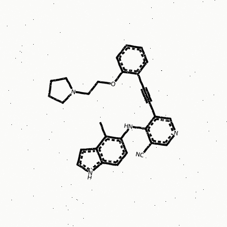 Cc1c(Nc2c(C#N)cncc2C#Cc2ccccc2OCCN2CCCC2)ccc2[nH]ccc12